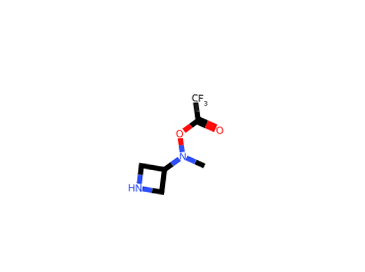 CN(OC(=O)C(F)(F)F)C1CNC1